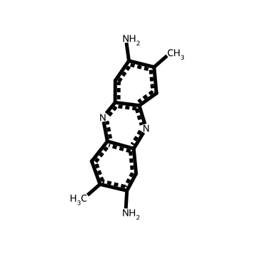 Cc1cc2nc3cc(N)c(C)cc3nc2cc1N